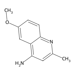 COc1ccc2nc(C)cc(N)c2c1